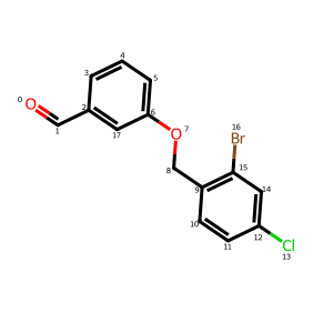 O=Cc1cccc(OCc2ccc(Cl)cc2Br)c1